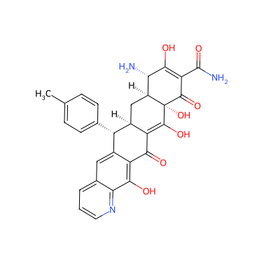 Cc1ccc([C@H]2c3cc4cccnc4c(O)c3C(=O)C3=C(O)[C@]4(O)C(=O)C(C(N)=O)=C(O)[C@@H](N)[C@@H]4C[C@@H]32)cc1